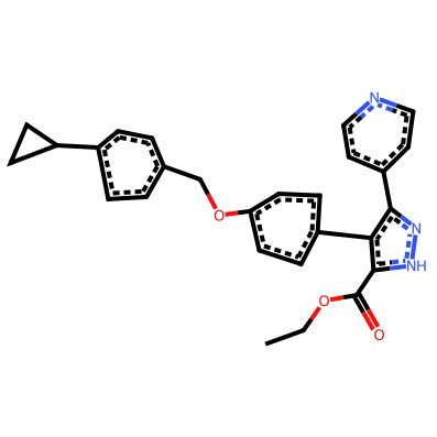 CCOC(=O)c1[nH]nc(-c2ccncc2)c1-c1ccc(OCc2ccc(C3CC3)cc2)cc1